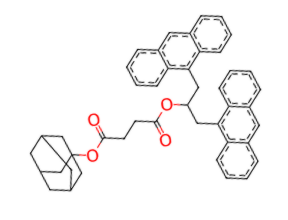 O=C(CCC(=O)OC12CC3CC(CC(C3)C1)C2)OC(Cc1c2ccccc2cc2ccccc12)Cc1c2ccccc2cc2ccccc12